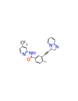 Cc1ccc(C(=O)Nc2cc(C(F)(F)F)ccn2)cc1C#CC1CN=C2C=CC=CN21